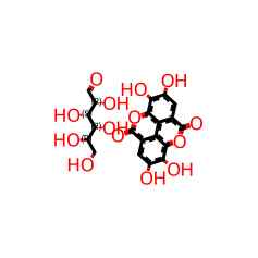 O=C[C@H](O)[C@@H](O)[C@H](O)[C@H](O)CO.O=c1oc2c(O)c(O)cc3c(=O)oc4c(O)c(O)cc1c4c23